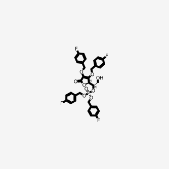 O=C1O[C@H]([C@H](CO)OP(=O)(OCc2ccc(F)cc2)OCc2ccc(F)cc2)C(OCc2ccc(F)cc2)=C1OCc1ccc(F)cc1